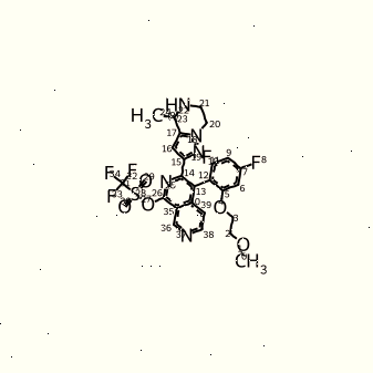 COCCOc1cc(F)cc(F)c1-c1c(-c2cc3n(n2)CCN[C@@H]3C)nc(OS(=O)(=O)C(F)(F)F)c2cnccc12